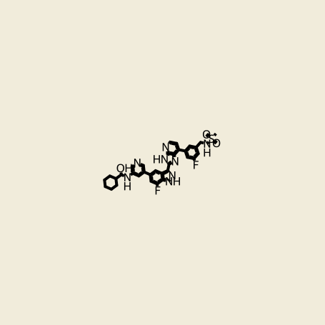 CS(=O)(=O)NCc1cc(F)cc(-c2ccnc3[nH]c(-c4n[nH]c5c(F)cc(-c6cncc(NC(O)C7CCCCC7)c6)cc45)nc23)c1